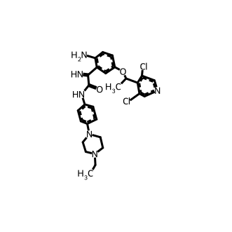 CCN1CCN(c2ccc(NC(=O)C(=N)c3cc(OC(C)c4c(Cl)cncc4Cl)ccc3N)cc2)CC1